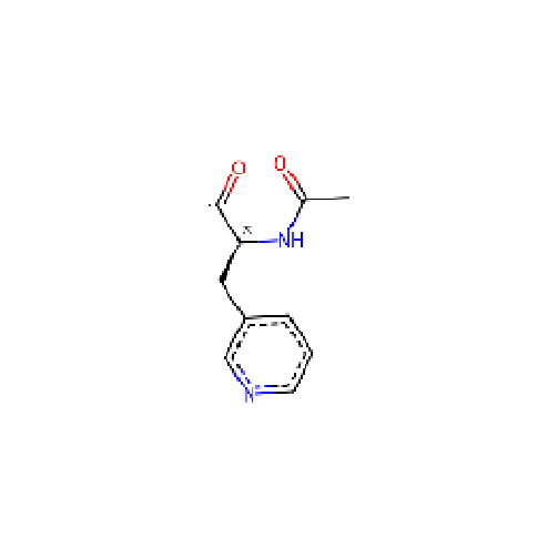 CC(=O)N[C@H]([C]=O)Cc1cccnc1